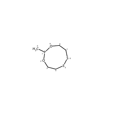 CP1OCCSSCCO1